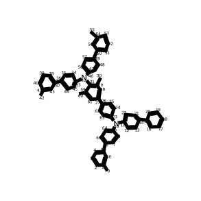 Cc1cccc(-c2ccc(N(c3ccc(-c4ccccc4)cc3)c3ccc(-c4cc(C)c(N(c5ccc(-c6cccc(C)c6)cc5)c5ccc(-c6cccc(C)c6)cc5)c(C)c4)cc3)cc2)c1